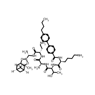 CCCCc1ccc(-c2ccc(C(=O)N[C@@H](CCCCN)C(=O)N[C@H](C(=O)N[C@@H](N)C(=O)N[C@@H](CCN)C(=O)N[C@@H](N)B3OC4C[C@@H]5C[C@@H](C5(C)C)[C@]4(C)O3)C(C)O)cc2)cc1